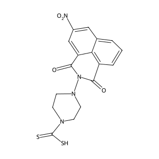 O=C1c2cccc3cc([N+](=O)[O-])cc(c23)C(=O)N1N1CCN(C(=S)S)CC1